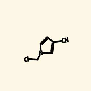 N#Cc1ccn(CCl)c1